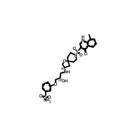 Cc1cccc2c(=O)c(S(=O)(=O)N3CCC4(CC3)C[C@@H](NC[C@H](O)COc3cccc(S(N)(=O)=O)c3)CO4)c[nH]c12